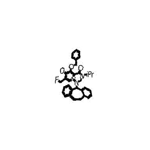 CC(C)N1CN(C2c3ccccc3CCC3C=CC=CC32)n2cc(CF)c(=O)c(OCc3ccccc3)c2C1=O